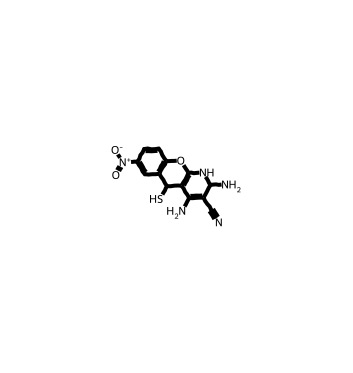 N#CC1=C(N)C2=C(NC1N)Oc1ccc([N+](=O)[O-])cc1C2S